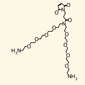 NCCOCCOCCOCCOCCN(CCOCCOCCOCCOCCN)C(=O)CCN1C(=O)C=CC1=O